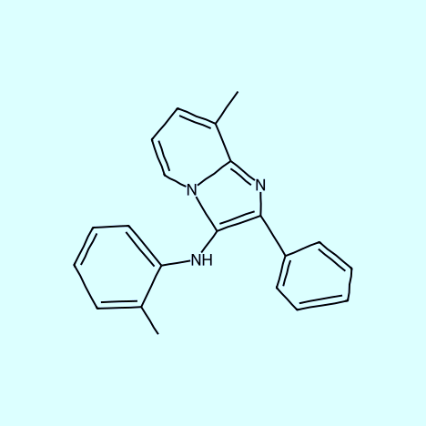 Cc1ccccc1Nc1c(-c2ccccc2)nc2c(C)cccn12